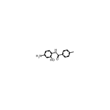 Cc1ccc(C(=O)Nc2ccc(N)cc2O)cc1